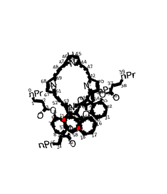 CCCC=CC(=O)Oc1ccccc1-c1c(-c2ccccc2OC(=O)C=CCCC)c2c(-c3ccccc3OC(=O)C=CCCC)c3nc(cc4ccc(cc5nc(cc1n2-c1ccccc1OC(=O)C=CCCC)C=C5)[nH]4)C=C3